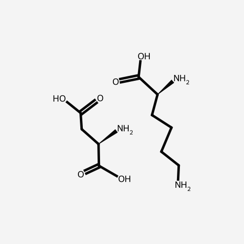 NCCCC[C@H](N)C(=O)O.N[C@H](CC(=O)O)C(=O)O